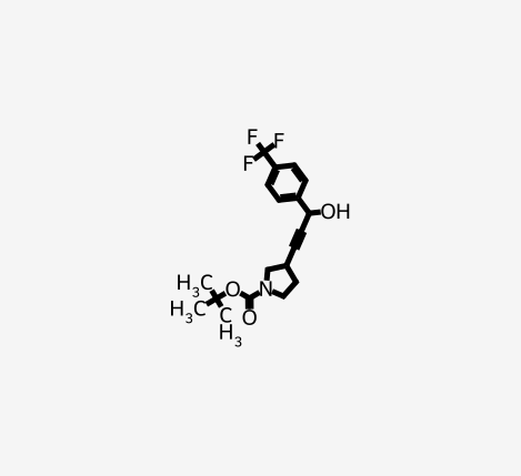 CC(C)(C)OC(=O)N1CCC(C#CC(O)c2ccc(C(F)(F)F)cc2)C1